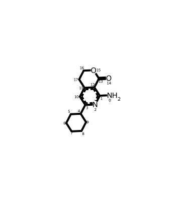 Nc1nc(C2CCCCC2)cc2c1C(=O)OCC2